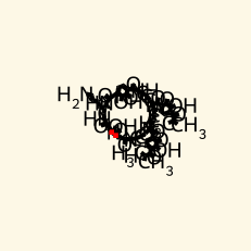 CC(C)C(=O)C1=CC=C(C(=O)N2CCCCN(C(=O)C3=CC=C(C(=O)C(C)C)C(O)C3=O)CCCNC(=O)c3ccc(n(O)c3=O)C(=O)NC(CCCCN)CNC(=O)c3ccc(c(=O)n3O)C(=O)NCCC2)C(=O)C1O